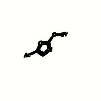 CC(=O)c1cnc(OC(C)C)o1